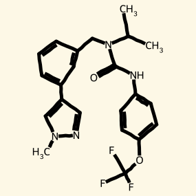 CC(C)N(Cc1cccc(-c2cnn(C)c2)c1)C(=O)Nc1ccc(OC(F)(F)F)cc1